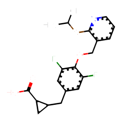 CC(C)Sc1ncccc1COc1c(F)cc(CC2CC2C(=O)O)cc1F